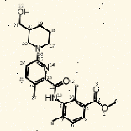 COC(=O)c1ccc(C)c(NC(=O)c2nc(N3CCCC(CO)C3)ccc2C)c1C